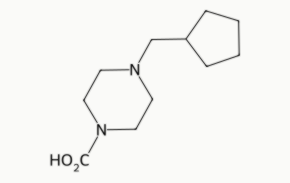 O=C(O)N1CCN(CC2CCCC2)CC1